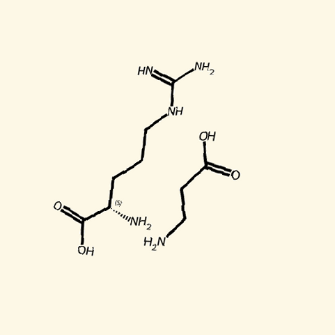 N=C(N)NCCC[C@H](N)C(=O)O.NCCC(=O)O